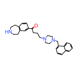 O=C(CCCN1CCN(Cc2cccc3ccccc23)CC1)c1ccc2c(c1)CCNCC2